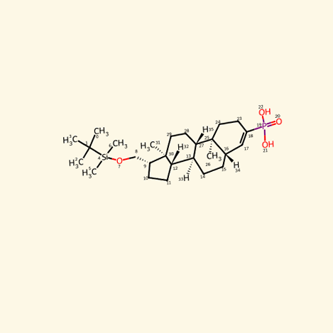 CC(C)(C)[Si](C)(C)OC[C@H]1CC[C@H]2[C@@H]3CC[C@H]4C=C(P(=O)(O)O)CC[C@]4(C)[C@H]3CC[C@]12C